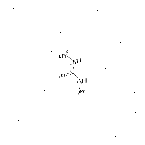 CCCNC(=O)NC(C)C